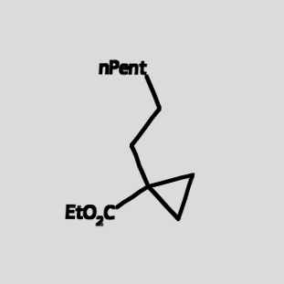 CCCCCCCC1(C(=O)OCC)CC1